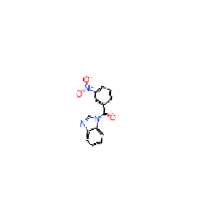 O=C(c1cccc([N+](=O)[O-])c1)n1cnc2ccccc21